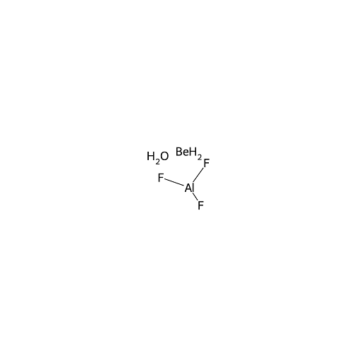 O.[BeH2].[F][Al]([F])[F]